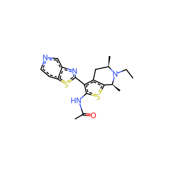 CCN1[C@H](C)Cc2c(sc(NC(C)=O)c2-c2nc3cnccc3s2)[C@@H]1C